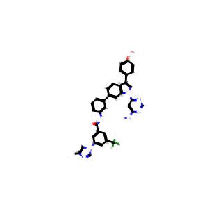 CNc1cc(-n2cc(-c3ccc(OC)cc3)c3ccc(-c4cccc(NC(=O)c5cc(-n6cnc(C)c6)cc(C(F)(F)F)c5)c4)cc32)ncn1